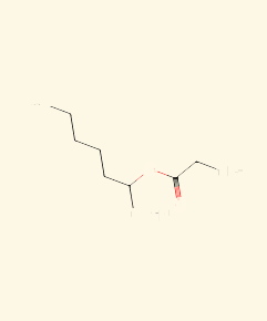 CCCCCCCCCCCCCCC(CCCCCCC)OC(=O)CCCCCCCCCCC